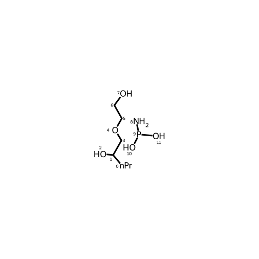 CCCC(O)COCCO.NP(O)O